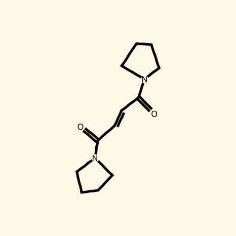 O=C(/C=C/C(=O)N1CCCC1)N1CCCC1